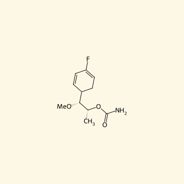 CO[C@H](C1C=CC(F)=CC1)[C@@H](C)OC(N)=O